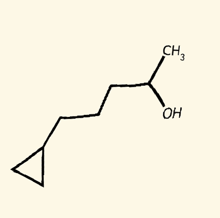 CC(O)CCCC1CC1